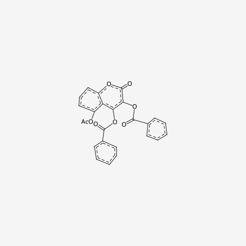 CC(=O)Oc1cccc2oc(=O)c(OC(=O)c3ccccc3)c(OC(=O)c3ccccc3)c12